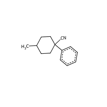 CC1CCC(C#N)(c2ccccc2)CC1